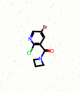 O=C(c1cc(Br)cnc1Cl)N1CCC1